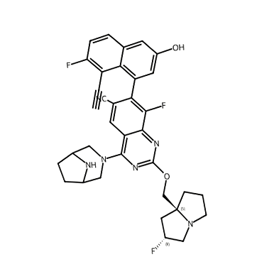 C#Cc1c(F)ccc2cc(O)cc(-c3c(C#N)cc4c(N5CC6CCC(C5)N6)nc(OC[C@@]56CCCN5C[C@H](F)C6)nc4c3F)c12